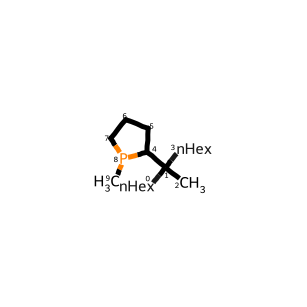 CCCCCCC(C)(CCCCCC)C1CCCP1C